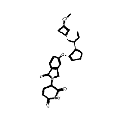 CCC(C[C@H]1C[C@H](OC)C1)[C@H]1CCC[C@@H]1Oc1ccc2c(c1)CN(C1CCC(=O)NC1=O)C2=O